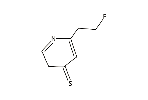 FCCC1=CC(=S)CC=N1